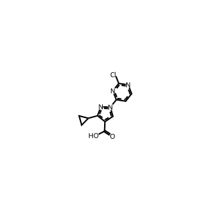 O=C(O)c1cn(-c2ccnc(Cl)n2)nc1C1CC1